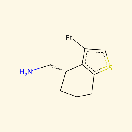 CCc1csc2c1[C@@H](CN)CCC2